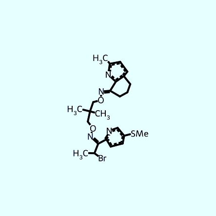 CSc1ccc(/C(=N\OCC(C)(C)CO/N=C2\CCCc3ccc(C)nc32)C(C)Br)nc1